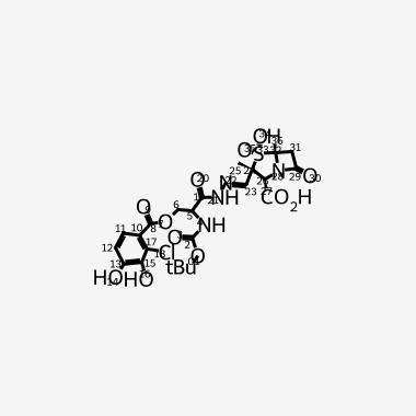 CC(C)(C)OC(=O)NC(COC(=O)c1ccc(O)c(O)c1Cl)C(=O)N/N=C/[C@@]1(C)[C@H](C(=O)O)N2C(=O)C[C@H]2S1(=O)=O